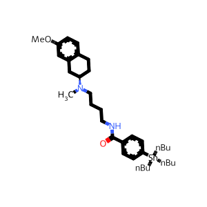 CCC[CH2][Sn]([CH2]CCC)([CH2]CCC)[c]1ccc(C(=O)NCCCCN(C)[C@@H]2CCc3ccc(OC)cc3C2)cc1